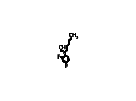 CCCCCCN(CC)c1ccc(F)cc1F